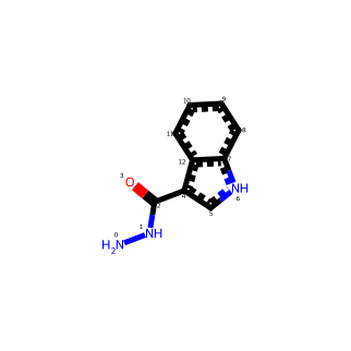 NNC(=O)c1c[nH]c2ccccc12